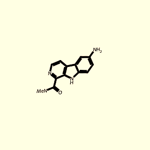 CNC(=O)c1nccc2c1[nH]c1ccc(N)cc12